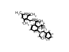 C=C1NC(C)=CC(C)=C1CNC(=C)c1cccc(N(CC)Cc2ccccc2)c1C(C)(F)F